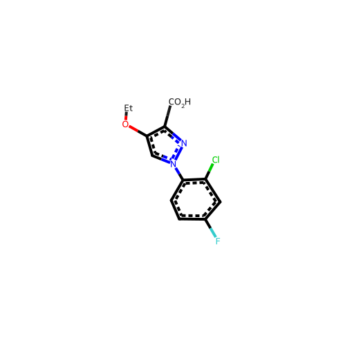 CCOc1cn(-c2ccc(F)cc2Cl)nc1C(=O)O